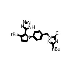 CCCCc1nc(Cl)n(Cc2ccc(-n3ccc(C(C)(C)C)c3-c3nnn[nH]3)cc2)n1